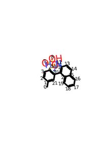 Cc1ccc(S(=O)(=O)O)c(-c2c(N)ccc3ccccc23)c1